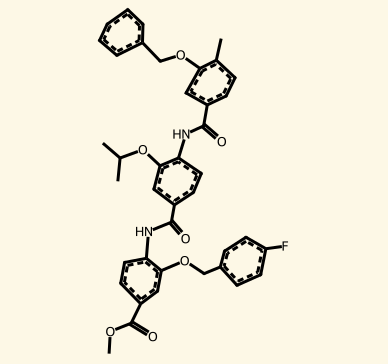 COC(=O)c1ccc(NC(=O)c2ccc(NC(=O)c3ccc(C)c(OCc4ccccc4)c3)c(OC(C)C)c2)c(OCc2ccc(F)cc2)c1